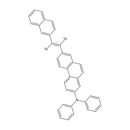 [2H]/C(=C(/[2H])c1ccc2c(ccc3cc(N(c4ccccc4)c4ccccc4)ccc32)c1)c1ccc2ccccc2c1